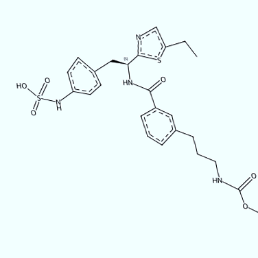 CCc1cnc([C@H](Cc2ccc(NS(=O)(=O)O)cc2)NC(=O)c2cccc(CCCNC(=O)OC(C)(C)C)c2)s1